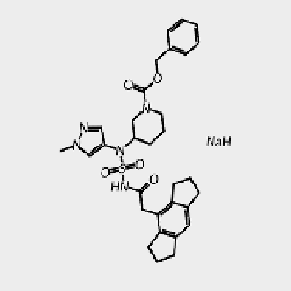 Cn1cc(N(C2CCCN(C(=O)OCc3ccccc3)C2)S(=O)(=O)NC(=O)Cc2c3c(cc4c2CCC4)CCC3)cn1.[NaH]